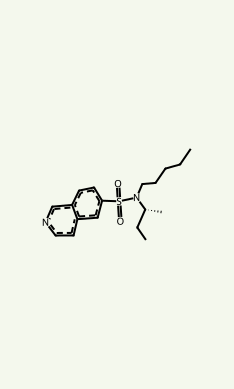 CCCCCN([C@H](C)CC)S(=O)(=O)c1ccc2cnccc2c1